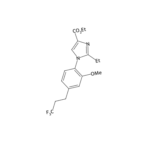 CCOC(=O)c1cn(-c2ccc(CCC(F)(F)F)cc2OC)c(CC)n1